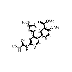 CCNC(=O)Nc1cc(-c2nc(C(F)(F)F)cs2)c(-c2cnc(OC)c(C(=O)OC)c2)cn1